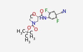 CC(C)(C)OC(=O)N1CCOC(C(=O)Nc2cc(F)c(C#N)cc2F)C1